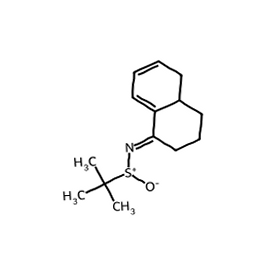 CC(C)(C)[S+]([O-])N=C1CCCC2CC=CC=C12